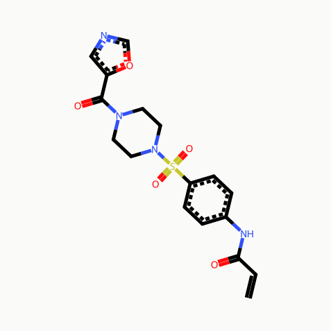 C=CC(=O)Nc1ccc(S(=O)(=O)N2CCN(C(=O)c3cnco3)CC2)cc1